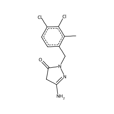 Cc1c(CN2N=C(N)CC2=O)ccc(Cl)c1Cl